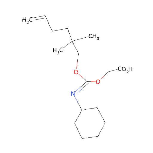 C=CCCC(C)(C)COC(=NC1CCCCC1)OCC(=O)O